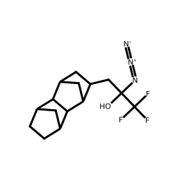 [N-]=[N+]=NC(O)(CC1CC2CC1C1C3CCC(C3)C21)C(F)(F)F